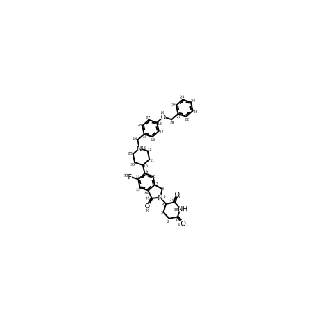 O=C1CCC(N2Cc3cc(C4CCN(Cc5ccc(OCc6ccccc6)cc5)CC4)c(F)cc3C2=O)C(=O)N1